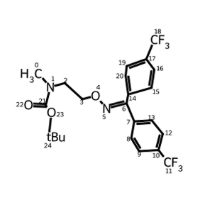 CN(CCON=C(c1ccc(C(F)(F)F)cc1)c1ccc(C(F)(F)F)cc1)C(=O)OC(C)(C)C